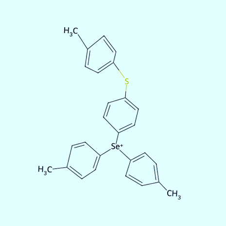 Cc1ccc(Sc2ccc([Se+](c3ccc(C)cc3)c3ccc(C)cc3)cc2)cc1